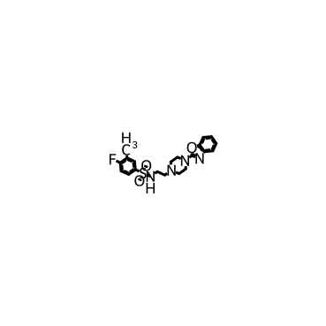 Cc1cc(S(=O)(=O)NCCN2CCN(c3nc4ccccc4o3)CC2)ccc1F